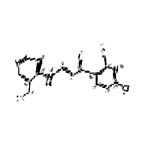 O=C(C=CNc1ccccc1CCl)c1ccc(Cl)nc1Cl